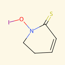 S=C1C=CCCN1OI